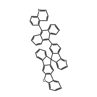 c1ccc2c(c1)-c1cc3oc4ccccc4c3cc1C21c2cc(-c3c4ccccc4c(-c4cccc5ncccc45)c4ccccc34)ccc2-c2ncccc21